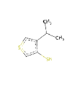 CC(C)c1cscc1S